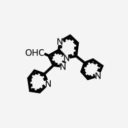 O=Cc1c(-c2ccccn2)nn2c(-c3ccncc3)ccnc12